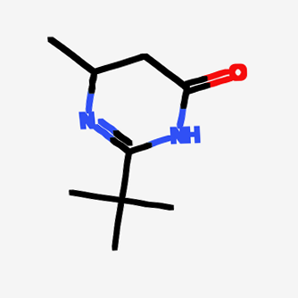 CC1CC(=O)NC(C(C)(C)C)=N1